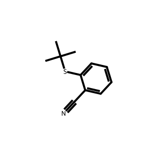 CC(C)(C)Sc1ccccc1C#N